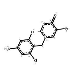 CC(C)c1cn(Cc2c(Cl)cc(N)cc2Cl)cnc1=O